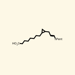 CCCCCC=CCC1CC1CCCCCCCC(=O)O